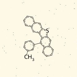 Cc1cccc(-c2c3ccccc3cc3sc4cc5ccccc5cc4c23)c1